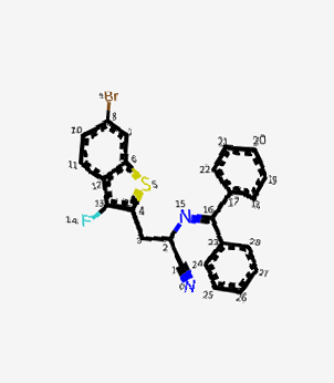 N#CC(Cc1sc2cc(Br)ccc2c1F)N=C(c1ccccc1)c1ccccc1